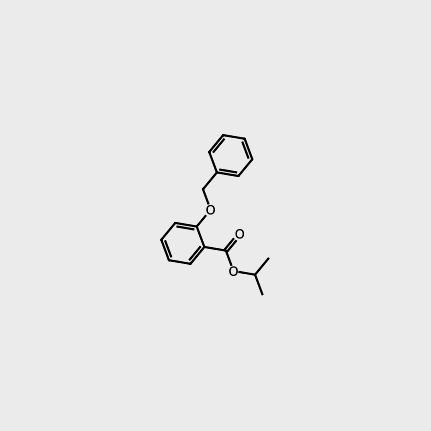 CC(C)OC(=O)c1ccccc1OCc1ccccc1